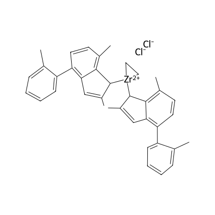 CC1=Cc2c(-c3ccccc3C)ccc(C)c2[CH]1[Zr+2]1([CH]2C(C)=Cc3c(-c4ccccc4C)ccc(C)c32)[CH2][CH2]1.[Cl-].[Cl-]